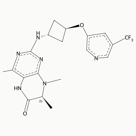 Cc1nc(N[C@H]2C[C@H](Oc3cncc(C(F)(F)F)c3)C2)nc2c1NC(=O)[C@H](C)N2C